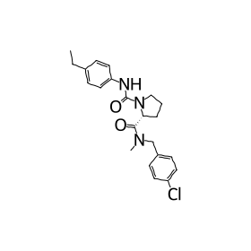 CCc1ccc(NC(=O)N2CCC[C@@H]2C(=O)N(C)Cc2ccc(Cl)cc2)cc1